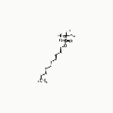 CCCCCCCCCCOS(=O)(=O)C(F)(F)F